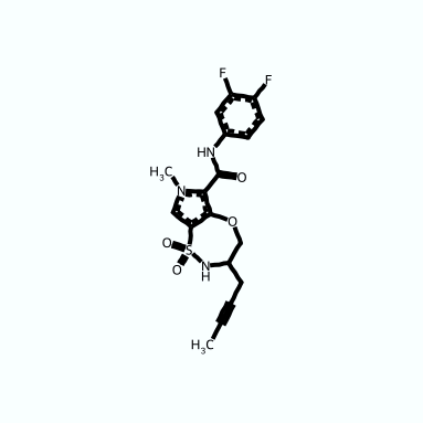 CC#CCC1COc2c(cn(C)c2C(=O)Nc2ccc(F)c(F)c2)S(=O)(=O)N1